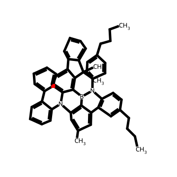 CCCCc1ccc(N2B3c4c(cc(C)cc4N(c4ccccc4-c4ccccc4)c4ccc5c(c43)C(C)(C)c3ccccc3-5)-c3cc(CCCC)ccc32)cc1